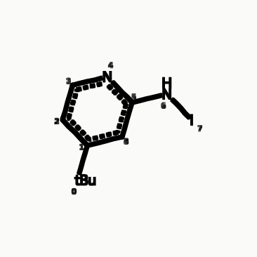 CC(C)(C)c1ccnc(NI)c1